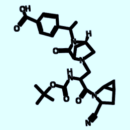 CC(c1ccc(C(=O)O)cc1)N1C(=O)C2C[C@H]1CN2CC(NC(=O)OC(C)(C)C)C(=O)N1C(C#N)CC2CC21